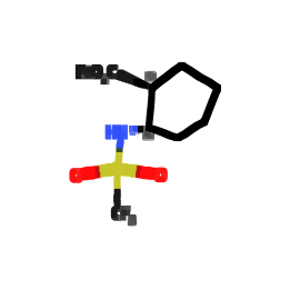 CCOC(=O)[C@H]1CCCC[C@@H]1NS(=O)(=O)C(F)(F)F